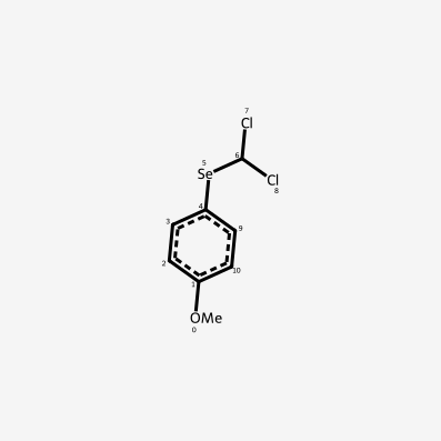 COc1ccc([Se]C(Cl)Cl)cc1